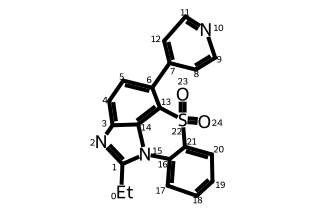 CCc1nc2ccc(-c3ccncc3)c3c2n1-c1ccccc1S3(=O)=O